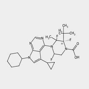 CC(C)(C)[C@@]1(F)N(C(=O)O)CC(F)N(c2ncnc3c2c(C2CC2)cn3C2CCCCC2)C1(C)F